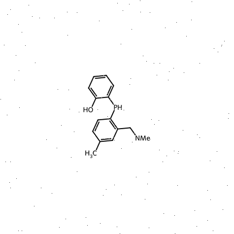 CNCc1cc(C)ccc1Pc1ccccc1O